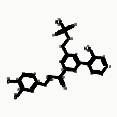 Cc1cnccc1-c1cc(COS(C)(=O)=O)cc(C(=O)NCc2ccc(Cl)c(Cl)c2)c1